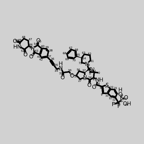 CC(C)(C)C(NC(=O)c1cc2cc(C(F)(F)P(=O)(O)O)ccc2s1)C(=O)N1C[C@@H](OCC(=O)NCC#Cc2ccc3c(c2)C(=O)N(C2CCC(=O)NC2=O)C3=O)C[C@H]1C(=O)N1CCC[C@H](c2ccccc2)C1